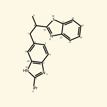 CC(C)c1nc2ccc(CC(C)c3nc4ccccc4s3)cc2[nH]1